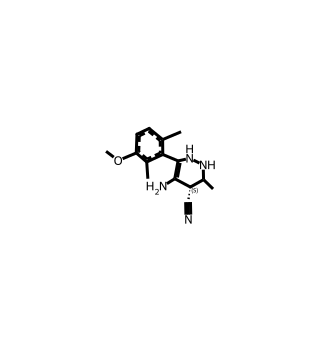 COc1ccc(C)c(C2=C(N)[C@@H](C#N)C(C)NN2)c1C